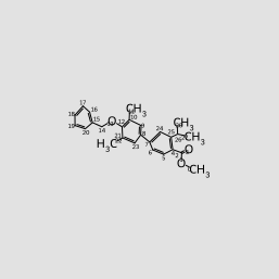 COC(=O)c1ccc(-c2cc(C)c(OCc3ccccc3)c(C)c2)cc1C(C)C